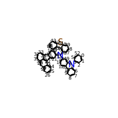 c1ccc(-n2c3ccccc3c3ccc(N(c4ccc5c(c4)-c4c6ccccc6cc6cccc-5c46)c4cccc5sc6ccccc6c45)cc32)cc1